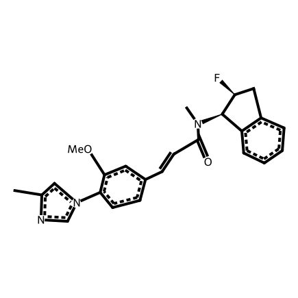 COc1cc(/C=C/C(=O)N(C)[C@@H]2c3ccccc3C[C@@H]2F)ccc1-n1cnc(C)c1